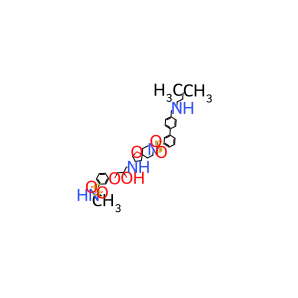 CNS(=O)(=O)c1cccc(OCC(O)CN[C@@H]2COC3(CCN(S(=O)(=O)c4cccc(-c5ccc(CNCCC(C)C)cc5)c4)CC3)C2)c1